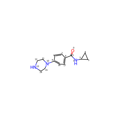 O=C(NC1CC1)c1ccc(N2CCNCC2)cc1